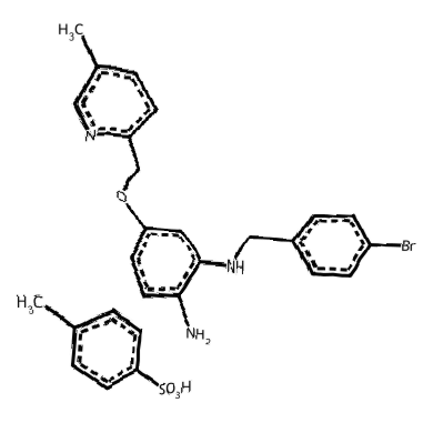 Cc1ccc(COc2ccc(N)c(NCc3ccc(Br)cc3)c2)nc1.Cc1ccc(S(=O)(=O)O)cc1